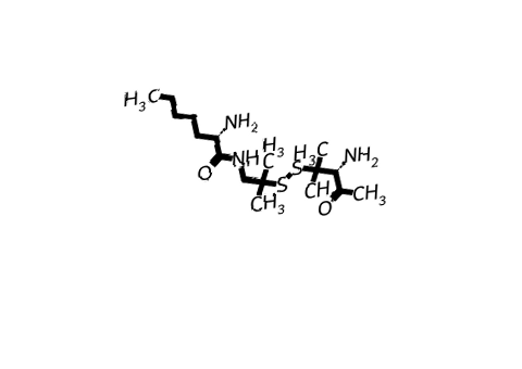 CCCCC[C@H](N)C(=O)NCC(C)(C)SSC(C)(C)[C@H](N)C(C)=O